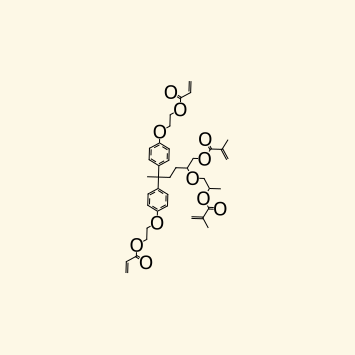 C=CC(=O)OCCOc1ccc(C(C)(CCC(COC(=O)C(=C)C)OCC(C)OC(=O)C(=C)C)c2ccc(OCCOC(=O)C=C)cc2)cc1